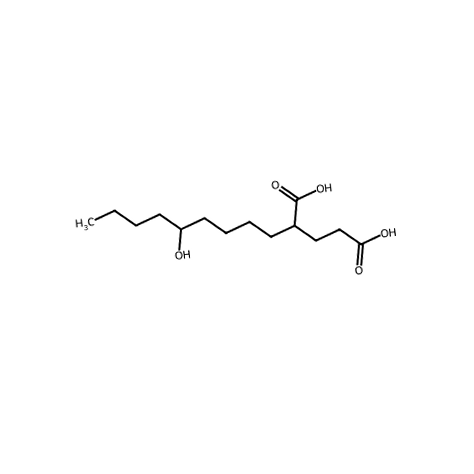 CCCCC(O)CCCCC(CCC(=O)O)C(=O)O